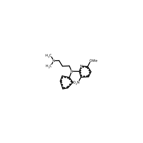 COc1ccc([N+](=O)[O-])c(N(CCCN(C)C)c2ccccc2)n1